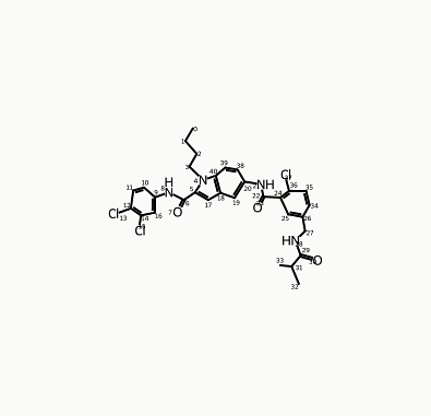 CCCCn1c(C(=O)Nc2ccc(Cl)c(Cl)c2)cc2cc(NC(=O)c3cc(CNC(=O)C(C)C)ccc3Cl)ccc21